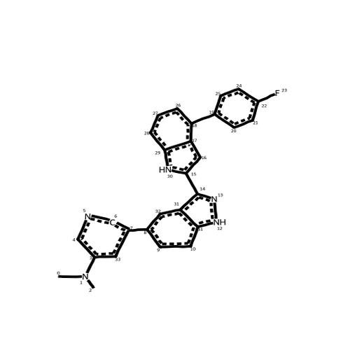 CN(C)c1cncc(-c2ccc3[nH]nc(-c4cc5c(-c6ccc(F)cc6)cccc5[nH]4)c3c2)c1